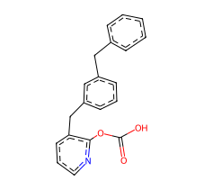 O=C(O)Oc1ncccc1Cc1cccc(Cc2ccccc2)c1